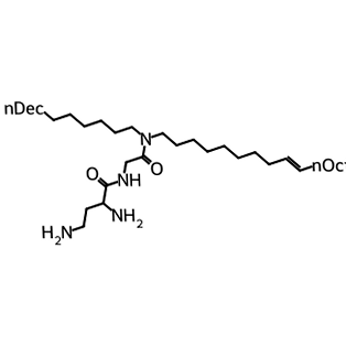 CCCCCCCC/C=C/CCCCCCCCN(CCCCCCCCCCCCCCCC)C(=O)CNC(=O)C(N)CCN